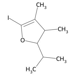 CC1=C(I)OC(C(C)C)C1C